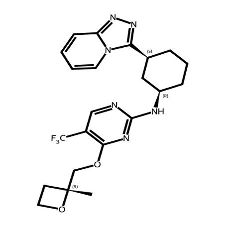 C[C@]1(COc2nc(N[C@@H]3CCC[C@H](c4nnc5ccccn45)C3)ncc2C(F)(F)F)CCO1